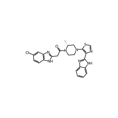 C[C@@H]1CN(c2scnc2-c2nc3ccccc3[nH]2)CCN1C(=O)Cc1nc2cc(Cl)ccc2[nH]1